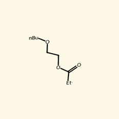 C[CH]C(=O)OCCOCCCC